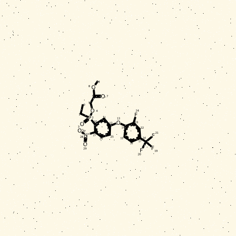 CCP(=O)(OCC(=O)OC)c1cc(Oc2ccc(C(F)(F)F)cc2F)ccc1[N+](=O)[O-]